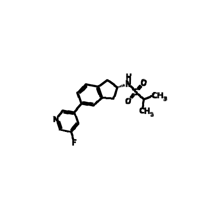 CC(C)S(=O)(=O)N[C@H]1Cc2ccc(-c3cncc(F)c3)cc2C1